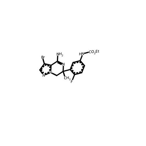 CCOC(=O)Nc1ccc(F)c(C2(C)Cn3ncc(Br)c3C(N)=N2)c1